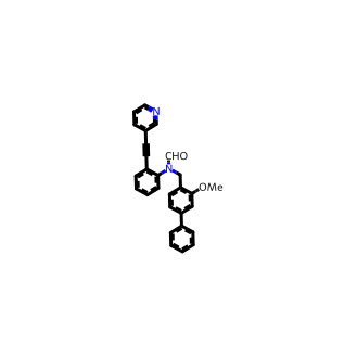 COc1cc(-c2ccccc2)ccc1CN(C=O)c1ccccc1C#Cc1cccnc1